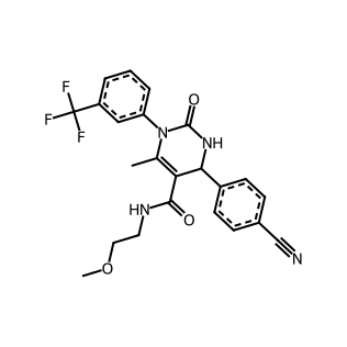 COCCNC(=O)C1=C(C)N(c2cccc(C(F)(F)F)c2)C(=O)NC1c1ccc(C#N)cc1